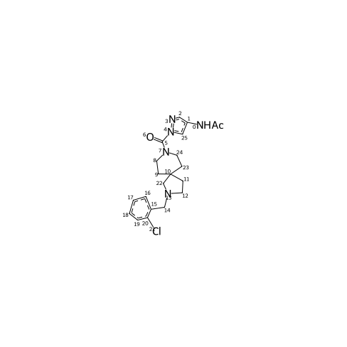 CC(=O)Nc1cnn(C(=O)N2CCC3(CCN(Cc4ccccc4Cl)C3)CC2)c1